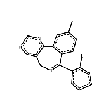 Cc1ccc2c(c1)-c1ncncc1CN=C2c1ccccc1F